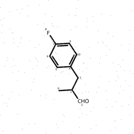 CC(C=O)Cc1ccc(F)cc1